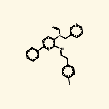 O=CN(Cc1cccnc1)c1ccc(-c2ccccc2)nc1NCCc1ccc(F)cc1